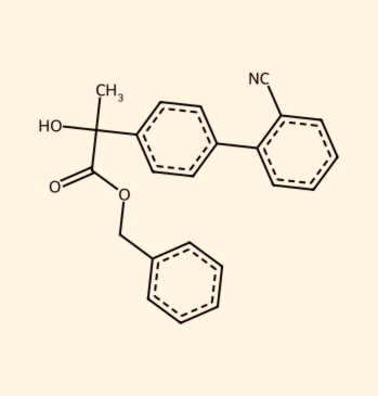 CC(O)(C(=O)OCc1ccccc1)c1ccc(-c2ccccc2C#N)cc1